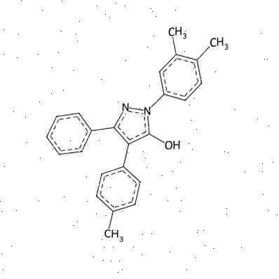 Cc1ccc(-c2c(-c3ccccc3)nn(-c3ccc(C)c(C)c3)c2O)cc1